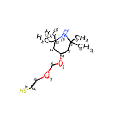 CC1(C)CC(OCOCCS)CC(C)(C)N1